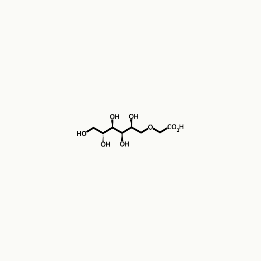 O=C(O)COC[C@H](O)[C@@H](O)[C@H](O)[C@H](O)CO